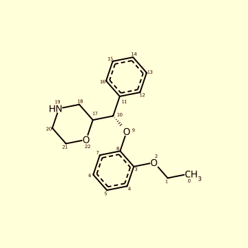 CCOc1ccccc1O[C@@H](c1ccccc1)C1CNCCO1